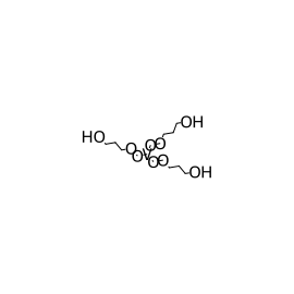 OCCCO[O][V]([O]OCCCO)[O]OCCCO